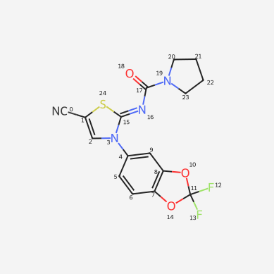 N#Cc1cn(-c2ccc3c(c2)OC(F)(F)O3)c(=NC(=O)N2CCCC2)s1